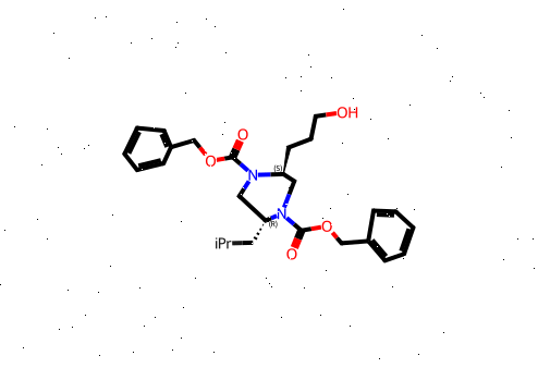 CC(C)C[C@@H]1CN(C(=O)OCc2ccccc2)[C@@H](CCCO)CN1C(=O)OCc1ccccc1